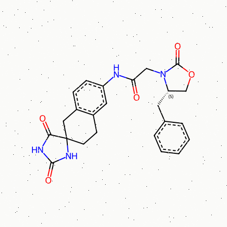 O=C(CN1C(=O)OC[C@@H]1Cc1ccccc1)Nc1ccc2c(c1)CCC1(C2)NC(=O)NC1=O